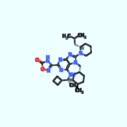 CC(C)C[C@@H]1CCCCN1c1nc2nc(-c3noc(=O)[nH]3)nc(N[C@H](C)C3CCC3)c2n1C[C@H]1CC[C@H](C)CC1